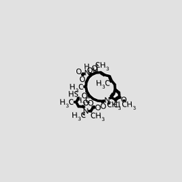 COc1cc2cc(c1Cl)N(C)C(=O)CC(OC(=O)[C@H](C)N(C)C(=O)CC(C)CS)C1(C)OC1C(C)C1CC(O)(NC(=O)O1)C(OC)/C=C/C=C(\C)C2